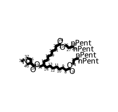 CCCCCC(CCCCC)CCOC(=O)CCCCCCCC(CCCCCCCC(=O)OCCC(CCCCC)CCCCC)COC(=O)C1CCN(C)C1